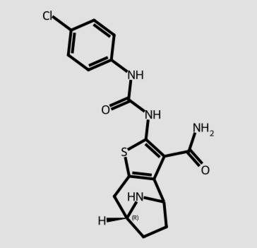 NC(=O)c1c(NC(=O)Nc2ccc(Cl)cc2)sc2c1C1CC[C@H](C2)N1